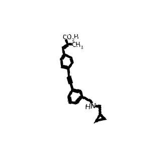 CC(=Cc1ccc(C#Cc2cccc(CNCC3CC3)c2)cc1)C(=O)O